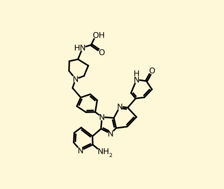 Nc1ncccc1-c1nc2ccc(-c3ccc(=O)[nH]c3)nc2n1-c1ccc(CN2CCC(NC(=O)O)CC2)cc1